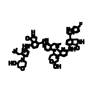 CN(C)Cc1nc(Nc2ccc(-c3cnc4c(CN(C)Cc5nc(Nc6ccc(-c7cnc8cc(F)ccn78)c7c6C(=O)NC7)ccc5N5CCCO[C@H](O)C5)c(F)ccn34)c3c2C(=O)NC3)ccc1N1CCOCC(O)C1